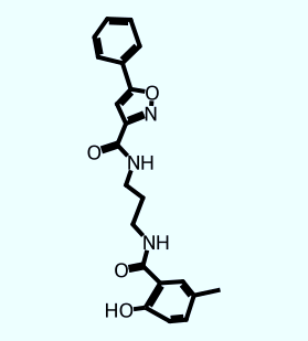 Cc1ccc(O)c(C(=O)NCCCNC(=O)c2cc(-c3ccccc3)on2)c1